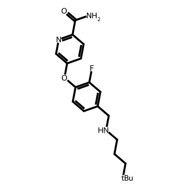 CC(C)(C)CCCNCc1ccc(Oc2ccc(C(N)=O)nc2)c(F)c1